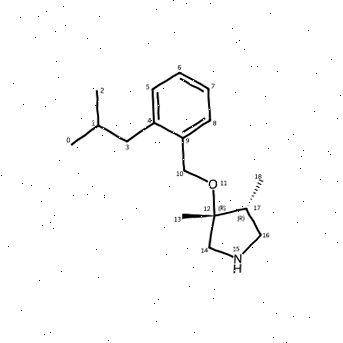 CC(C)Cc1ccccc1CO[C@@]1(C)CNC[C@H]1C